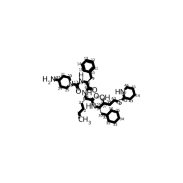 CCCC[C@H](NC(=O)[C@H](Cc1ccccc1)NC(=O)N1CCC(N)CC1)C(=O)N[C@@H](CC1CCCCC1)[C@@H](O)CCSC1CCCCN1